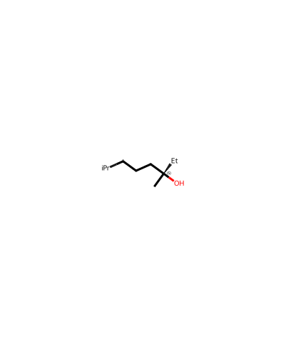 CC[C@](C)(O)CC[CH]C(C)C